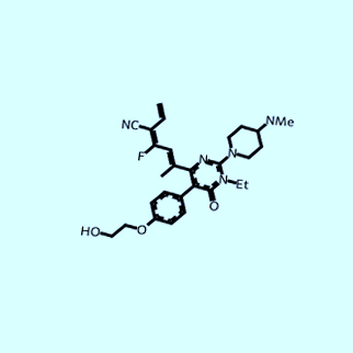 C=C/C(C#N)=C(F)\C=C(/C)c1nc(N2CCC(NC)CC2)n(CC)c(=O)c1-c1ccc(OCCO)cc1